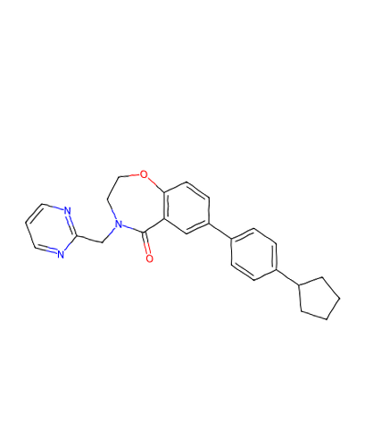 O=C1c2cc(-c3ccc(C4CCCC4)cc3)ccc2OCCN1Cc1ncccn1